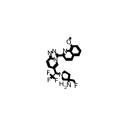 COc1cccc2ccc(-c3nnc4ccc([C@@H](N5CCC(N)(CF)C5)C(F)(F)F)cn34)nc12